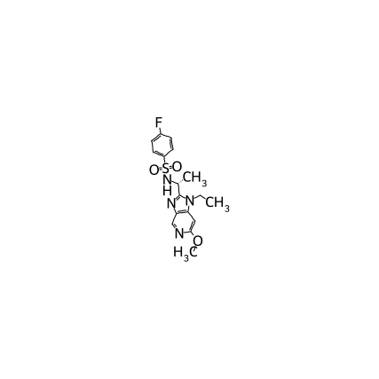 CCn1c([C@@H](C)NS(=O)(=O)c2ccc(F)cc2)nc2cnc(OC)cc21